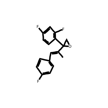 C/C(=C\c1ccc(F)cc1)C1(c2ccc(F)cc2F)CO1